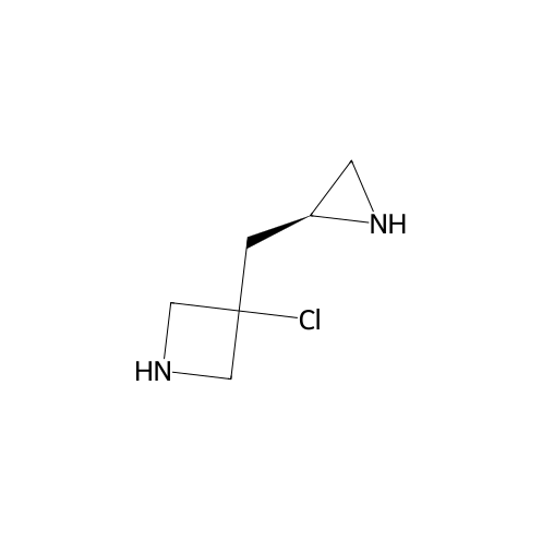 ClC1(C[C@H]2CN2)CNC1